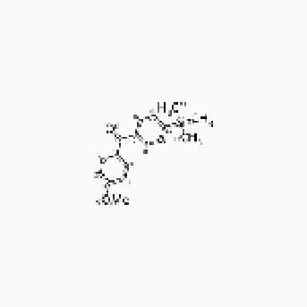 COc1ccc(C(=O)c2ccc([Si](C)(C)C)cc2)cc1